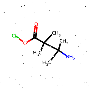 CC(C)(N)C(C)(C)C(=O)OCl